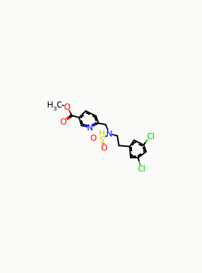 COC(=O)c1ccc(CN(CCc2cc(Cl)cc(Cl)c2)[SH](=O)=O)nc1